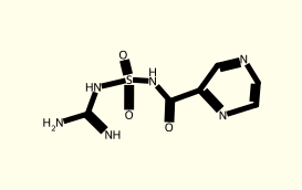 N=C(N)NS(=O)(=O)NC(=O)c1cnccn1